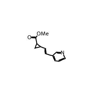 COC(=O)C1CC1C=Cc1cccnc1